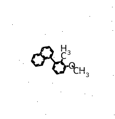 COc1cccc(-c2cccc3ccccc23)c1C